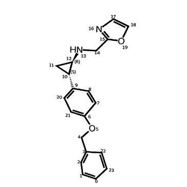 c1ccc(COc2ccc([C@@H]3C[C@H]3NCc3ncco3)cc2)cc1